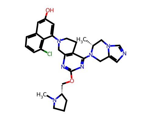 C[C@@H]1Cn2cncc2CN1c1nc(OC[C@@H]2CCCN2C)nc2c1CCN(c1cc(O)cc3cccc(Cl)c13)C2